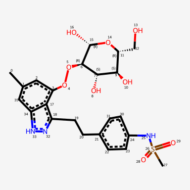 Cc1cc(OO[C@@H]2[C@@H](O)[C@H](O)[C@@H](CO)O[C@H]2O)c2c(CCc3ccc(NS(C)(=O)=O)cc3)n[nH]c2c1